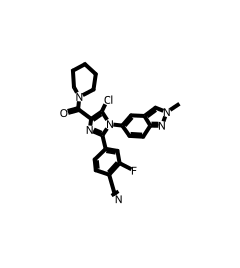 Cn1cc2cc(-n3c(-c4ccc(C#N)c(F)c4)nc(C(=O)N4CCCCC4)c3Cl)ccc2n1